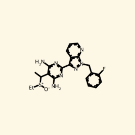 CC[S+]([O-])C(C)c1c(N)nc(-c2nn(Cc3ccccc3F)c3ncccc23)nc1N